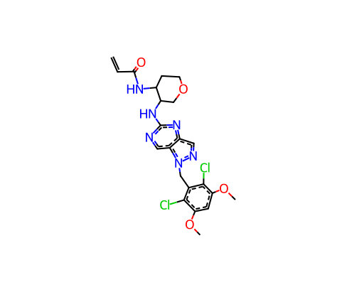 C=CC(=O)NC1CCOCC1Nc1ncc2c(cnn2Cc2c(Cl)c(OC)cc(OC)c2Cl)n1